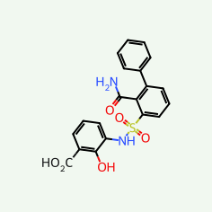 NC(=O)c1c(-c2ccccc2)cccc1S(=O)(=O)Nc1cccc(C(=O)O)c1O